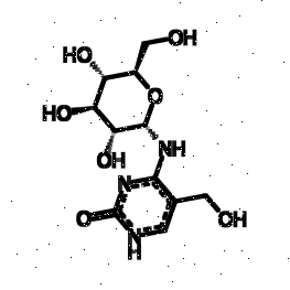 O=c1nc(N[C@H]2O[C@H](CO)[C@@H](O)[C@H](O)[C@H]2O)c(CO)c[nH]1